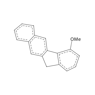 COc1cccc2c1-c1cc3ccccc3cc1C2